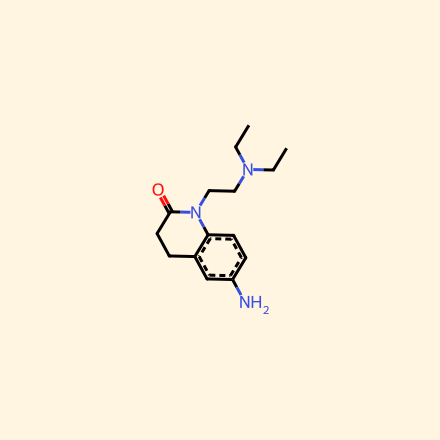 CCN(CC)CCN1C(=O)CCc2cc(N)ccc21